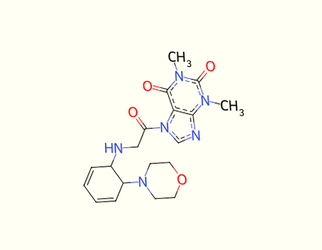 Cn1c(=O)c2c(ncn2C(=O)CNC2C=CC=CC2N2CCOCC2)n(C)c1=O